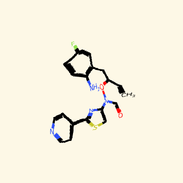 C=CC(Cc1cc(F)ccc1N)ON(C=O)c1csc(-c2ccncc2)n1